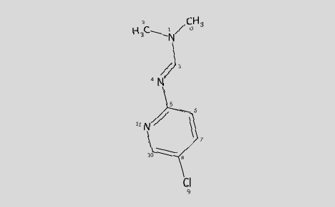 CN(C)/C=N/c1ccc(Cl)cn1